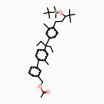 CCC(CC)(c1ccc(CCC(O[Si](C)(C)C(C)(C)C)C(C)(C)C)c(C)c1)c1ccc(-c2cccc(COC(C)=O)c2)c(C)c1